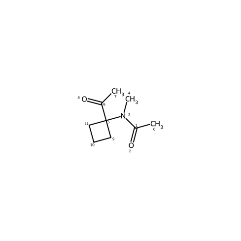 CC(=O)N(C)C1(C(C)=O)CCC1